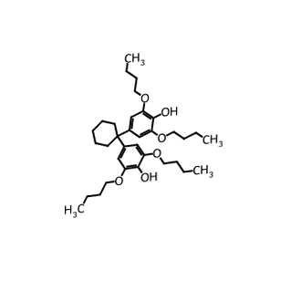 CCCCOc1cc(C2(c3cc(OCCCC)c(O)c(OCCCC)c3)CCCCC2)cc(OCCCC)c1O